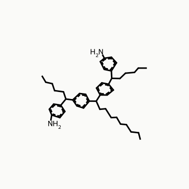 CCCCCCCCCC(c1ccc(C(CCCCC)c2ccc(N)cc2)cc1)c1ccc(C(CCCCC)c2ccc(N)cc2)cc1